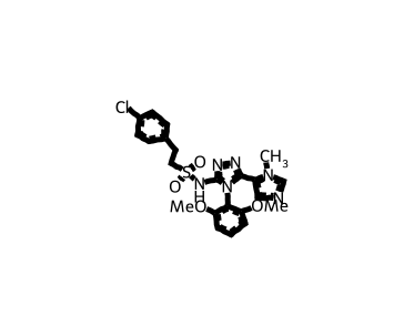 COc1cccc(OC)c1-n1c(NS(=O)(=O)CCc2ccc(Cl)cc2)nnc1-c1cncn1C